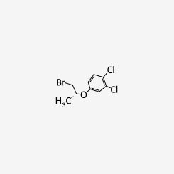 C[C@H](CBr)Oc1ccc(Cl)c(Cl)c1